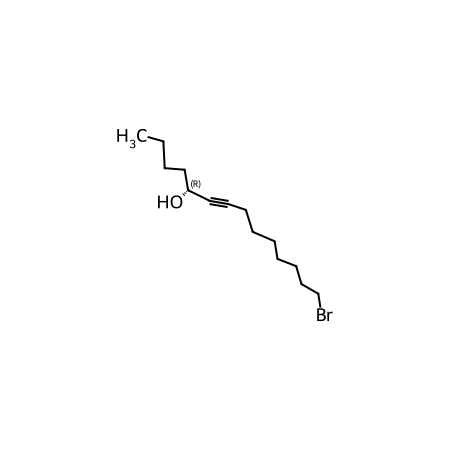 CCCC[C@@H](O)C#CCCCCCCCBr